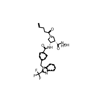 C=CCCC(=O)N1C[C@H](C(=O)NO)[C@H](NC(=O)c2ccc(Cn3c(C(F)(F)F)nc4ccccc43)cc2)C1